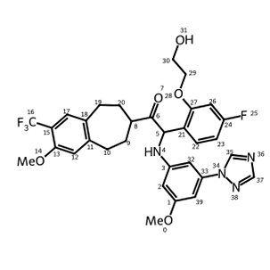 COc1cc(NC(C(=O)C2CCc3cc(OC)c(C(F)(F)F)cc3CC2)c2ccc(F)cc2OCCO)cc(-n2cncn2)c1